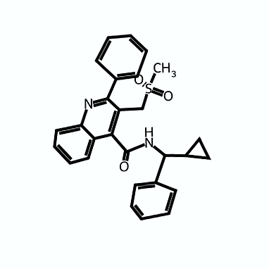 CS(=O)(=O)Cc1c(-c2ccccc2)nc2ccccc2c1C(=O)NC(c1ccccc1)C1CC1